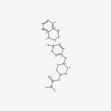 CN(C)C(=O)CC1CCN(CC2=CCC(I)([C@H]3COc4cccnc4O3)C=C2)CC1